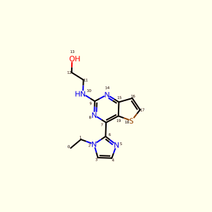 CCn1ccnc1-c1nc(NCCO)nc2ccsc12